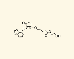 O=C(CCCCOC[C@H]1CCC(=O)[C@@H]1CSc1cccc2occc12)OCCO